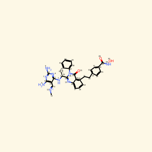 CC[C@H](Nc1nc(N)nc(N)c1/C=N/C)c1nc2cccc(CCc3ccc(C(=O)NO)cc3)c2c(=O)n1-c1ccccc1